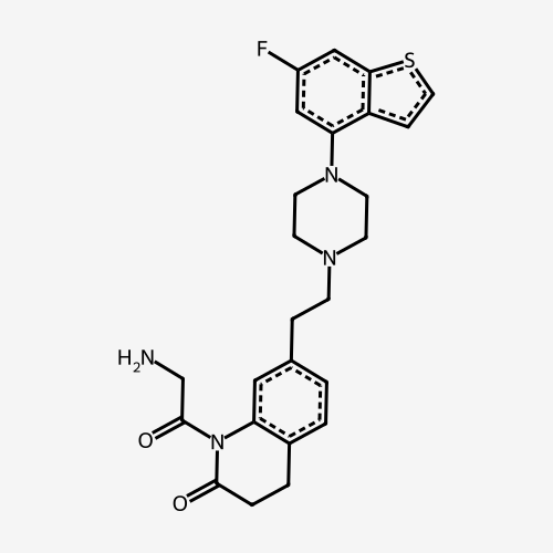 NCC(=O)N1C(=O)CCc2ccc(CCN3CCN(c4cc(F)cc5sccc45)CC3)cc21